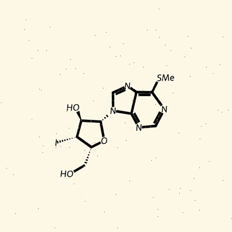 CSc1ncnc2c1ncn2[C@@H]1O[C@H](CO)[C@H](I)[C@H]1O